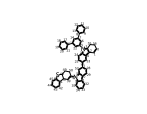 C1=Cc2c(n(-c3cc(-c4ccccc4)cc(-c4ccccc4)c3)c3ccc(-c4ccc5c6ccccc6n(C6=CC7c8ccccc8SC7CC6)c5c4)cc23)CC1